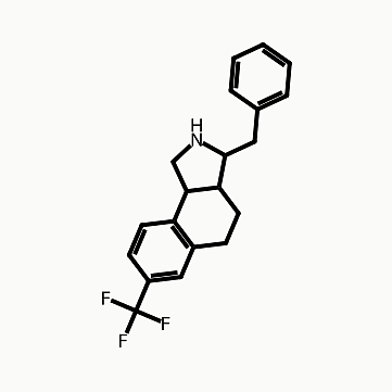 FC(F)(F)c1ccc2c(c1)CCC1C(Cc3ccccc3)NCC21